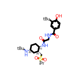 CC(C)S(=O)(=O)C[C@@H]1C[C@H](NC(C)(C)C)CC[C@@H]1NC(=O)CNC(=O)c1ccc(O)c(C(C)(C)C)c1